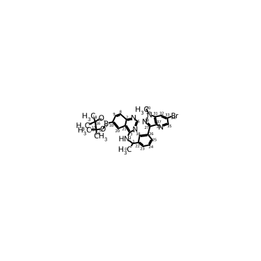 CC(Nc1ncnc2ccc(B3OC(C)(C)C(C)(C)O3)cc12)c1cccc(-c2nn(C)c3cc(Br)cnc23)c1